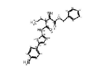 CC[C@@H](C(=N)C(=O)OCc1ccccc1)C(=O)Nc1ncc(-c2ccc(N)cc2)s1